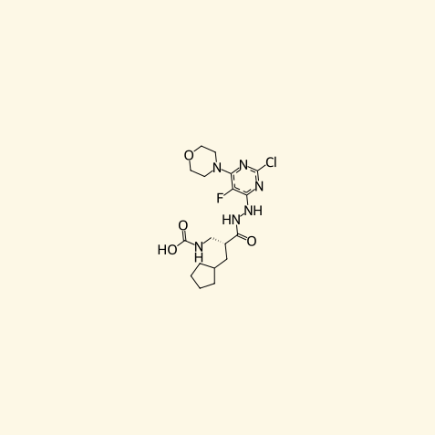 O=C(O)NC[C@@H](CC1CCCC1)C(=O)NNc1nc(Cl)nc(N2CCOCC2)c1F